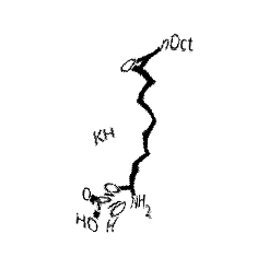 CCCCCCCCC1OC1CCCCCCCC(N)OP(=O)(O)O.[KH]